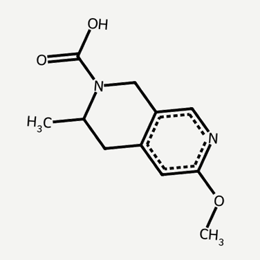 COc1cc2c(cn1)CN(C(=O)O)C(C)C2